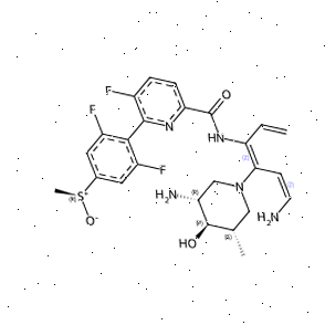 C=C/C(NC(=O)c1ccc(F)c(-c2c(F)cc([S@+](C)[O-])cc2F)n1)=C(\C=C/N)N1C[C@@H](N)[C@H](O)[C@@H](C)C1